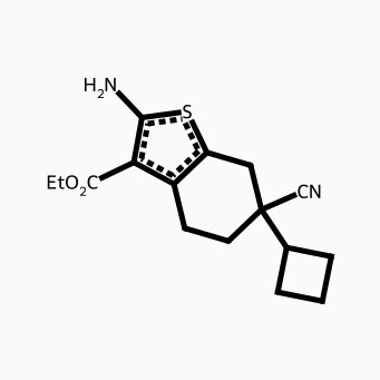 CCOC(=O)c1c(N)sc2c1CCC(C#N)(C1CCC1)C2